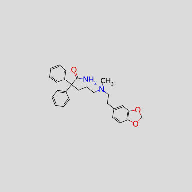 CN(CCCC(C(N)=O)(c1ccccc1)c1ccccc1)CCc1ccc2c(c1)OCO2